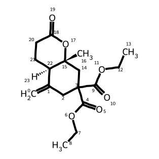 C=C1CC(C(=O)OCC)(C(=O)OCC)C[C@@]2(C)OC(=O)CC[C@H]12